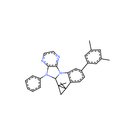 Cc1cc(C)cc(-c2ccc3c(c2)N2c4nccnc4N(c4ccccc4)C2C2(C)CC32C)c1